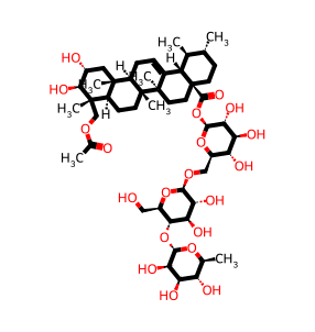 CC(=O)OC[C@@]1(C)[C@@H]2CC[C@]3(C)[C@H](CC=C4[C@@H]5[C@@H](C)[C@H](C)CC[C@]5(C(=O)O[C@@H]5O[C@H](CO[C@@H]6O[C@H](CO)[C@@H](O[C@@H]7O[C@@H](C)[C@H](O)[C@@H](O)[C@H]7O)[C@H](O)[C@H]6O)[C@@H](O)[C@H](O)[C@H]5O)CC[C@]43C)[C@@]2(C)C[C@@H](O)[C@@H]1O